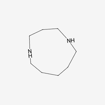 C1CCNCCCNCC1